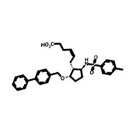 Cc1ccc(S(=O)(=O)N[C@H]2CC[C@H](OCc3ccc(-c4ccccc4)cc3)[C@@H]2C/C=C\CCC(=O)O)cc1